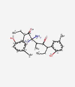 CCCCC(C(=O)C(CC(C)(C)C)c1cc(C(C)(C)C)ccc1O)C(N)(N)C(=O)C(CC(C)(C)C)c1cc(C(C)(C)C)ccc1O